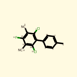 Cc1ccc(-c2c(Cl)c(C#N)c(F)c(C#N)c2Cl)cc1